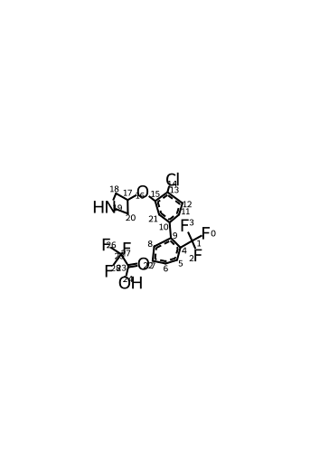 FC(F)(F)c1ccccc1-c1ccc(Cl)c(OC2CNC2)c1.O=C(O)C(F)(F)F